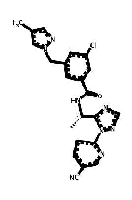 C[C@H](NC(=O)c1cc(Cl)cc(Cn2cc(C(F)(F)F)cn2)c1)c1ncnn1-c1ccc(C#N)cn1